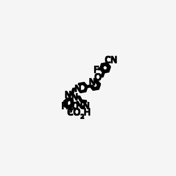 Cn1cncc1Cn1c(CN2CCC(c3cccc(OCc4ccc(C#N)cc4F)n3)CC2)nc2ccc(C(=O)O)cc21